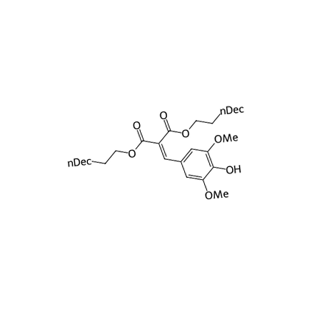 CCCCCCCCCCCCOC(=O)C(=Cc1cc(OC)c(O)c(OC)c1)C(=O)OCCCCCCCCCCCC